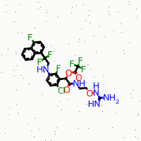 N=C(N)NOCCNC(=O)C(OC(=O)C(F)(F)F)c1c(Cl)ccc(NCC(F)(F)c2ccc(F)c3ccccc23)c1F